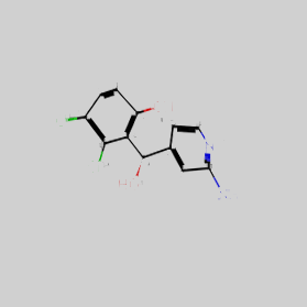 Nc1cc([C@@H](O)c2c(O)ccc(Cl)c2Cl)ccn1